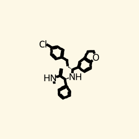 C=C(NC)[C@H](N[C@H](CCc1ccc(Cl)cc1)c1ccc2c(c1)CCO2)c1ccccc1